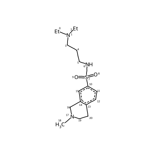 CCN(CC)CCCNS(=O)(=O)c1ccc2c(c1)CN(C)CC2